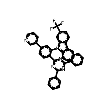 FC(F)(F)c1ccc2c3ccccc3n(-c3cc(-c4cccnc4)ccc3-c3nc(-c4ccccc4)nc(-c4ccccc4)n3)c2c1